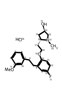 COc1cccc(CCc2cc(F)ccc2OCC[C@@H]2C[C@@H](O)CN2C)c1.Cl